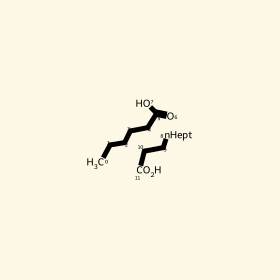 CCCCCC(=O)O.CCCCCCCCCC(=O)O